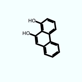 Oc1cccc2c1c(O)cc1ccccc12